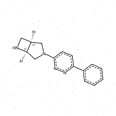 c1ccc(-c2ccc(N3C[C@@H]4CN[C@@H]4C3)nn2)cc1